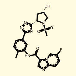 Cc1ccc(-c2noc([C@@H]3C[C@H](O)CN3S(C)(=O)=O)n2)cc1NC(=O)c1cnc2ccc(F)cn12